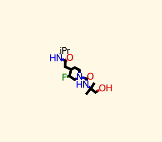 CC(C)NC(=O)CC1CCN(C(=O)NC(C)(C)CO)CC1F